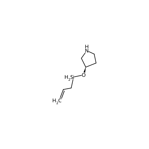 C=CC[SiH2]O[C@@H]1CCNC1